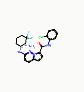 N[C@@H]1[C@H](Nc2ccc3ccc(C(=O)Nc4ccccc4Cl)n3n2)CCCC1(F)F